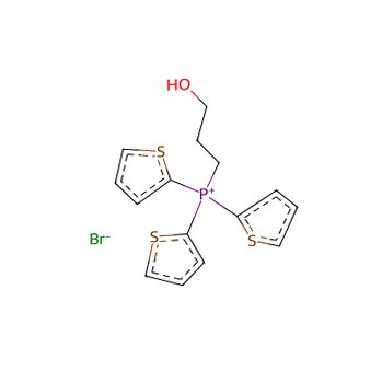 OCCC[P+](c1cccs1)(c1cccs1)c1cccs1.[Br-]